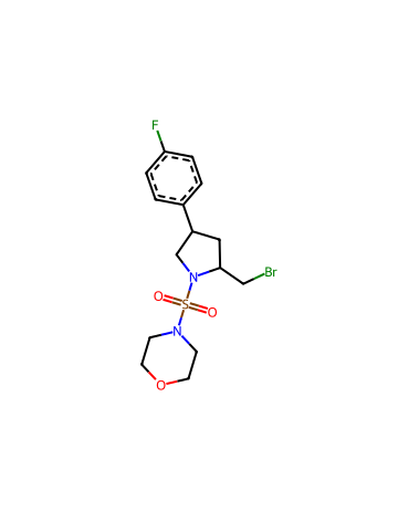 O=S(=O)(N1CCOCC1)N1CC(c2ccc(F)cc2)CC1CBr